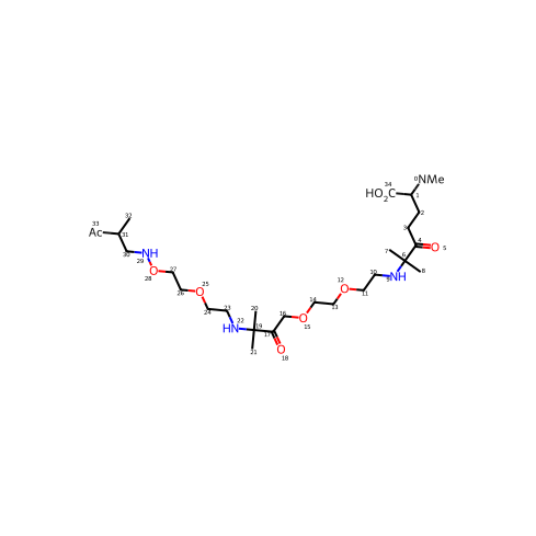 CNC(CCC(=O)C(C)(C)NCCOCCOCC(=O)C(C)(C)NCCOCCONCC(C)C(C)=O)C(=O)O